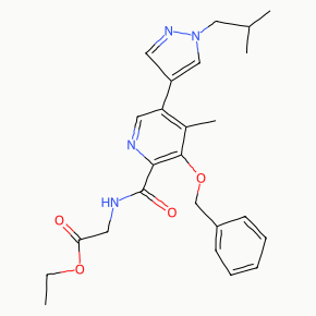 CCOC(=O)CNC(=O)c1ncc(-c2cnn(CC(C)C)c2)c(C)c1OCc1ccccc1